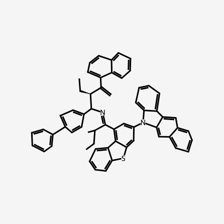 C=C(c1cccc2ccccc12)[C@H](CC)C(/N=C(/c1cc(-n2c3ccccc3c3cc4ccccc4cc32)cc2sc3ccccc3c12)C(C)CC)c1ccc(-c2ccccc2)cc1